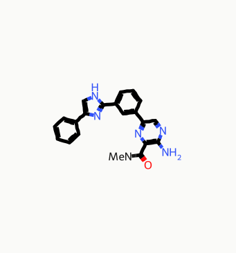 CNC(=O)c1nc(-c2cccc(-c3nc(-c4ccccc4)c[nH]3)c2)cnc1N